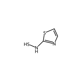 SNc1nccs1